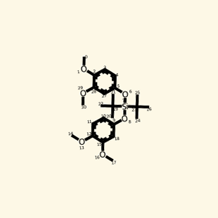 COc1ccc(O[Si](Oc2ccc(OC)c(OC)c2)(C(C)(C)C)C(C)(C)C)cc1OC